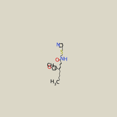 CCCCCCC(=CC=CC(=O)NCCSCc1cccnc1)c1ccc(OC)cc1